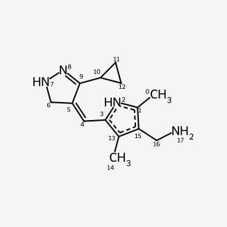 Cc1[nH]c(C=C2CNN=C2C2CC2)c(C)c1CN